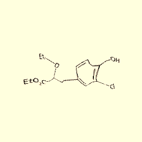 CCOC(=O)C(Cc1ccc(O)c(Cl)c1)OCC